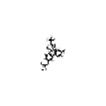 COC(=O)Cc1ccc(OC)c(-c2ccc(C)cc2CNCC(F)(F)F)c1